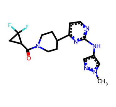 Cn1cc(Nc2nccc(C3CCN(C(=O)C4CC4(F)F)CC3)n2)cn1